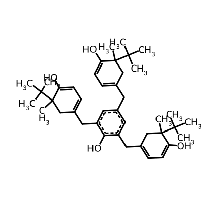 CC(C)(C)C1(C)CC(Cc2cc(CC3=CC=C(O)C(C)(C(C)(C)C)C3)c(O)c(CC3=CC=C(O)C(C)(C(C)(C)C)C3)c2)=CC=C1O